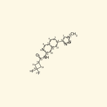 Cn1cc(-c2ccc3cnc(NC(=O)C4CC(F)(F)C4)cc3c2)nn1